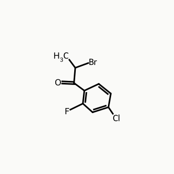 CC(Br)C(=O)c1ccc(Cl)cc1F